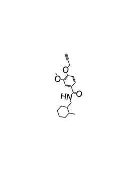 C#CCOc1ccc(C(=O)NCC2CCCCC2C)cc1OC